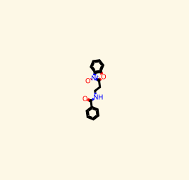 O=C(NCCc1oc2ccccc2[n+]1[O-])c1ccccc1